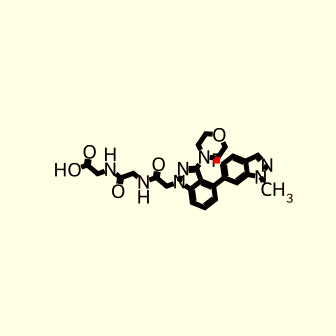 Cn1ncc2cc(F)c(-c3cccc4c3c(N3CCOCC3)nn4CC(=O)NCC(=O)NCC(=O)O)cc21